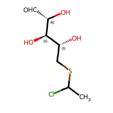 CC(Cl)SC[C@@H](O)[C@@H](O)[C@@H](O)C=O